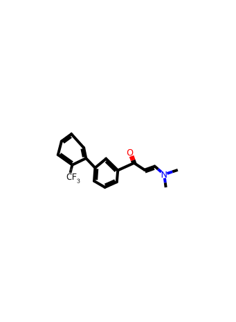 CN(C)/C=C/C(=O)c1cccc(-c2ccccc2C(F)(F)F)c1